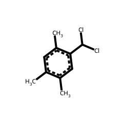 Cc1cc(C)c(C(Cl)Cl)cc1C